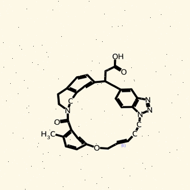 Cc1ccc2cc1C(=O)N1CCc3ccc(cc3C1)C(CC(=O)O)c1ccc3c(c1)nnn3CC/C=C/CO2